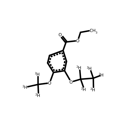 [2H]C([2H])([2H])Oc1ccc(C(=O)OCC)cc1OC([2H])([2H])C([2H])([2H])[2H]